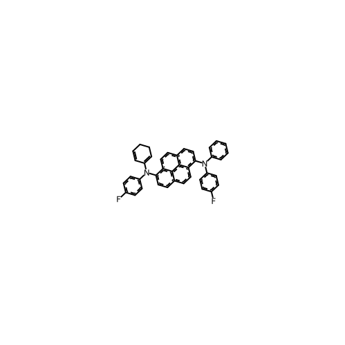 Fc1ccc(N(C2=CCCC=C2)c2ccc3ccc4c(N(c5ccccc5)c5ccc(F)cc5)ccc5ccc2c3c54)cc1